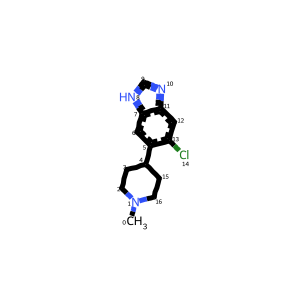 CN1CCC(c2cc3[nH]cnc3cc2Cl)CC1